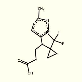 Cc1ncc(C(CCC(=O)O)C2(C(F)(F)F)CC2)cn1